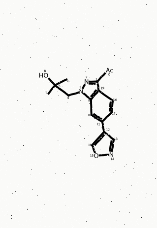 CC(=O)c1nn(CC(C)(C)O)c2cc(-c3cnoc3)ccc12